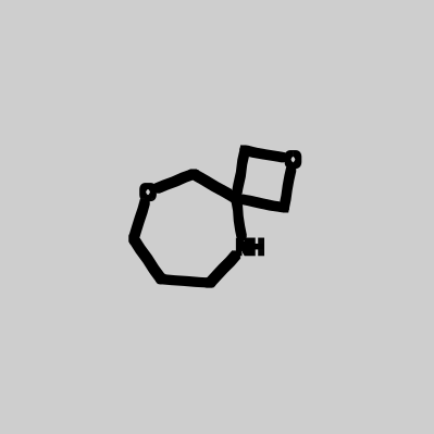 C1CNC2(COC1)COC2